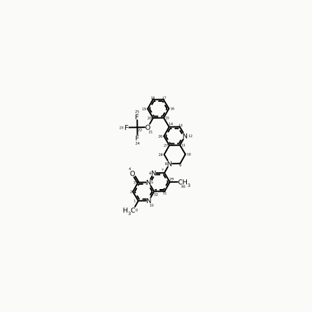 Cc1cc(=O)n2nc(N3CCc4ncc(-c5ccccc5OC(F)(F)F)cc4C3)c(C)cc2n1